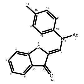 CC(=O)N(/C=C1\Sc2ccccc2C1=O)c1ccc(C)cc1